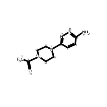 Nc1ccc(N2CCN(C(=O)C(F)(F)F)CC2)nn1